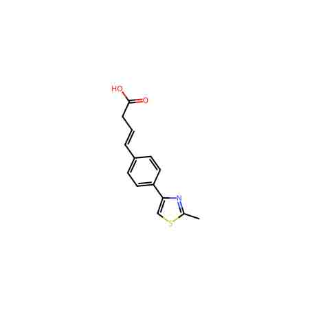 Cc1nc(-c2ccc(/C=C/CC(=O)O)cc2)cs1